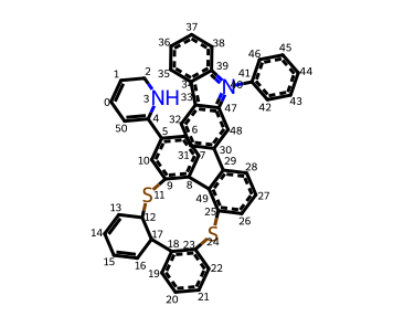 C1=CCNC(c2ccc3c(c2)SC2C=CC=CC2c2ccccc2Sc2cccc(-c4ccc5c6ccccc6n(-c6ccccc6)c5c4)c2-3)=C1